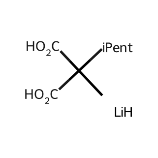 CCCC(C)C(C)(C(=O)O)C(=O)O.[LiH]